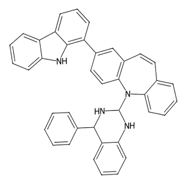 C1=Cc2cc(-c3cccc4c3[nH]c3ccccc34)ccc2N(C2Nc3ccccc3C(c3ccccc3)N2)c2ccccc21